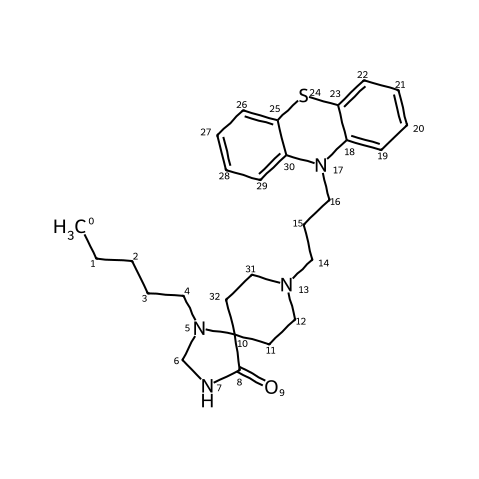 CCCCCN1CNC(=O)C12CCN(CCCN1c3ccccc3Sc3ccccc31)CC2